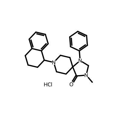 CN1CN(c2ccccc2)C2(CCN(C3CCCc4ccccc43)CC2)C1=O.Cl